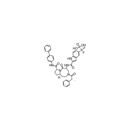 C[C@@H](C(=O)N1CC[C@H]2CC[C@@H](C(=O)Nc3ccc(-c4ccccc4)cc3)N2C(=O)[C@@H](NC(=O)c2cc3cc(C(F)(F)P(=O)(O)O)ccc3[nH]2)C1)c1ccccc1